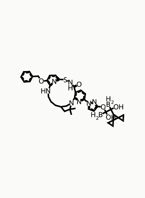 BC(O)(Oc1ccn(-c2ccc3c(n2)N2CC(CCCNc4nc(ccc4OCc4ccccc4)SNC3=O)CC2(C)C)n1)C(B)(O)C1C2(CC2)C12CC2